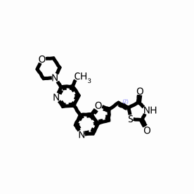 Cc1cc(-c2cncc3cc(/C=C4\SC(=O)NC4=O)oc23)cnc1N1CCOCC1